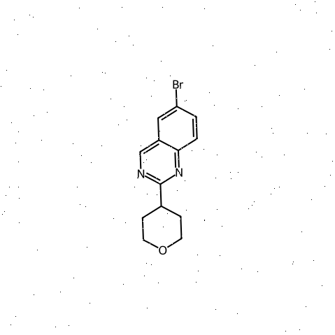 Brc1ccc2nc(C3CCOCC3)ncc2c1